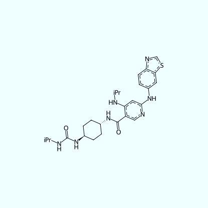 CC(C)NC(=O)N[C@H]1CC[C@H](NC(=O)c2cnc(Nc3ccc4ncsc4c3)cc2NC(C)C)CC1